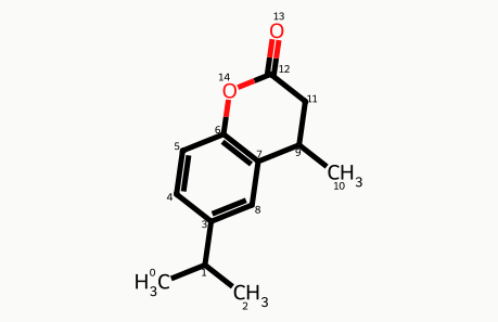 CC(C)c1ccc2c(c1)C(C)CC(=O)O2